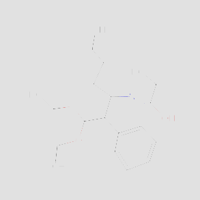 CCCCC(N)C(c1ccccc1)C(OCC)OCC.CCCO